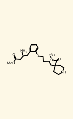 COC(=O)CC(N)Cc1ccccc1OCCCCC1(C(=O)OC(C)(C)C)CCNCC1